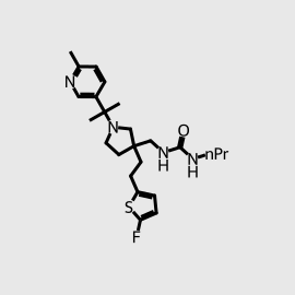 CCCNC(=O)NCC1(CCc2ccc(F)s2)CCN(C(C)(C)c2ccc(C)nc2)C1